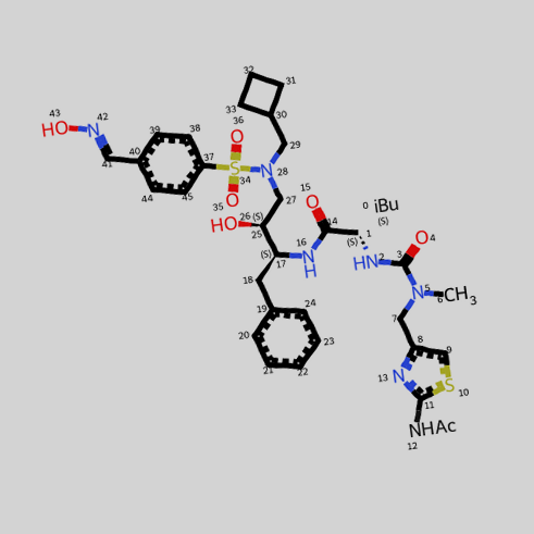 CC[C@H](C)[C@H](NC(=O)N(C)Cc1csc(NC(C)=O)n1)C(=O)N[C@@H](Cc1ccccc1)[C@@H](O)CN(CC1CCC1)S(=O)(=O)c1ccc(C=NO)cc1